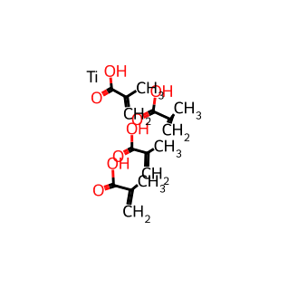 C=C(C)C(=O)O.C=C(C)C(=O)O.C=C(C)C(=O)O.C=C(C)C(=O)O.[Ti]